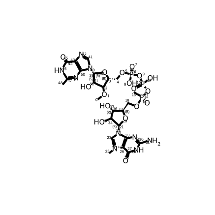 COC1[C@@H](COP(=O)(O)OP(=O)(O)OP(C)(=O)OC[C@H]2O[C@@H](n3c[n+](C)c4c(=O)[nH]c(N)nc43)C(O)[C@H]2O)O[C@@H](n2cnc3c(=O)[nH]c(C)nc32)[C@H]1O